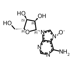 Nc1ncnc2c1[n+]([O-])cn2[C@@H]1O[C@H](CO)[C@@H](O)[C@H]1O